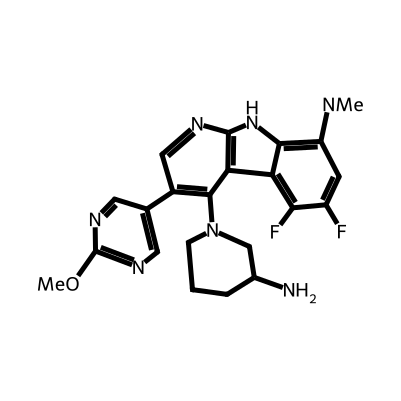 CNc1cc(F)c(F)c2c1[nH]c1ncc(-c3cnc(OC)nc3)c(N3CCCC(N)C3)c12